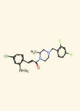 CC(=O)Nc1cc(Cl)ccc1C=CC(=O)N1CCN(Cc2ccc(F)cc2F)CC1C